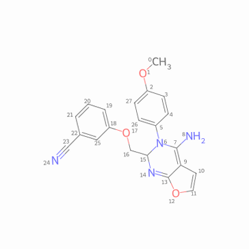 COc1ccc(N2C(N)=c3ccoc3=NC2COc2cccc(C#N)c2)cc1